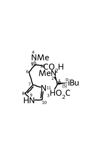 CC[C@H](C)[C@H](NC)C(=O)O.CN[C@@H](Cc1c[nH]cn1)C(=O)O